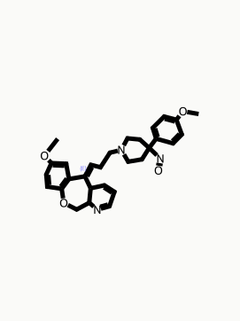 COc1ccc(C2(N=O)CCN(CC/C=C3/c4cc(OC)ccc4OCC4N=CC=CC34)CC2)cc1